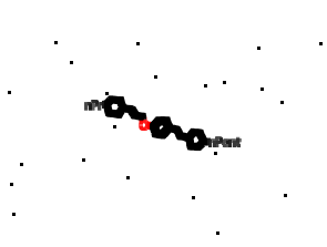 CCCCCC1CCC(CCc2ccc(OC/C=C/C3CCC(CCC)CC3)cc2)CC1